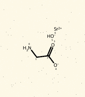 NCC(=O)[O-].[OH-].[Sr+2]